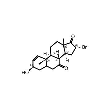 C[C@]12C=C[C@H](O)CC1CC(=O)[C@@H]1[C@@H]2CC[C@]2(C)C(=O)[C@H](Br)C[C@@H]12